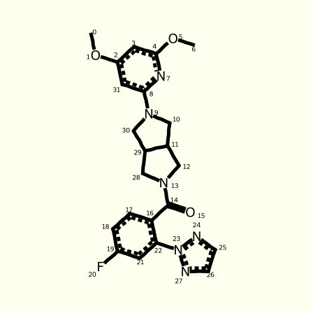 COc1cc(OC)nc(N2CC3CN(C(=O)c4ccc(F)cc4-n4nccn4)CC3C2)c1